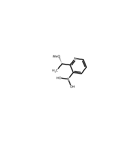 CO[C@@H](C)c1ncccc1B(O)O